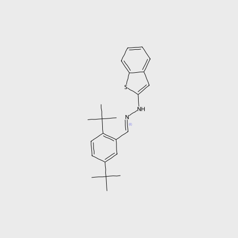 CC(C)(C)c1ccc(C(C)(C)C)c(/C=N/Nc2cc3ccccc3s2)c1